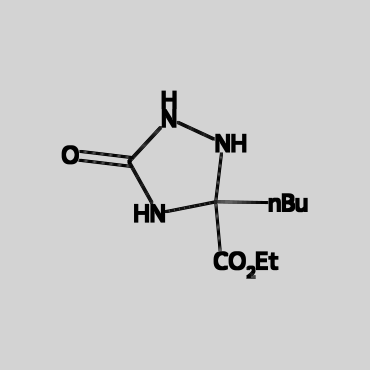 CCCCC1(C(=O)OCC)NNC(=O)N1